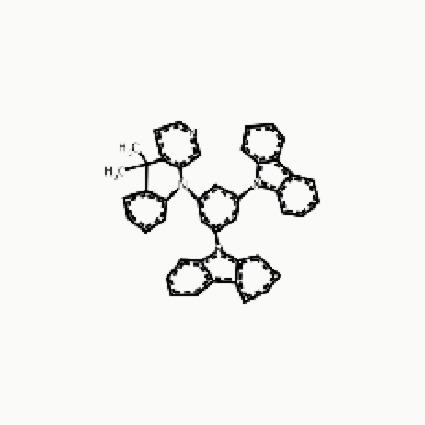 CC1(C)c2ccccc2N(c2cc(-n3c4ccccc4c4ccccc43)cc(-n3c4ccccc4c4ccccc43)c2)c2cnccc21